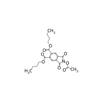 CCCCOC(=O)c1cc2c(cc1C(=O)OCCCC)C(=O)N(OC(C)=O)C2=O